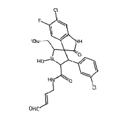 CC(C)(C)CC1N(O)C(C(=O)NC/C=C/C=O)C(c2cccc(Cl)c2)C12C(=O)Nc1cc(Cl)c(F)cc12